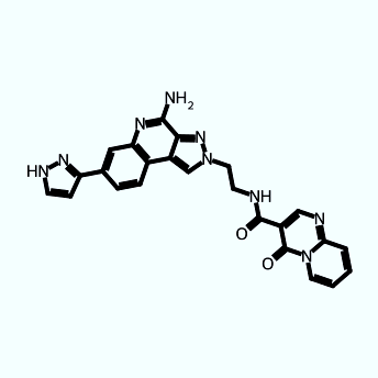 Nc1nc2cc(-c3cc[nH]n3)ccc2c2cn(CCNC(=O)c3cnc4ccccn4c3=O)nc12